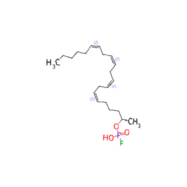 CCCCC/C=C\C/C=C\C/C=C\C/C=C\CCCC(C)OP(=O)(O)F